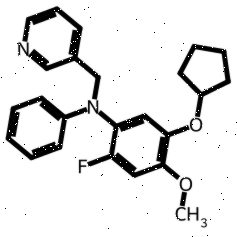 COc1cc(F)c(N(Cc2cccnc2)c2ccccc2)cc1OC1CCCC1